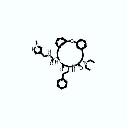 CCN(CC)[C@H]1Cc2cccc(c2)Oc2cccc(c2)C[C@@H](C(=O)NCc2cnn(C)c2)NC(=O)[C@H](CCc2ccccc2)NC1=O